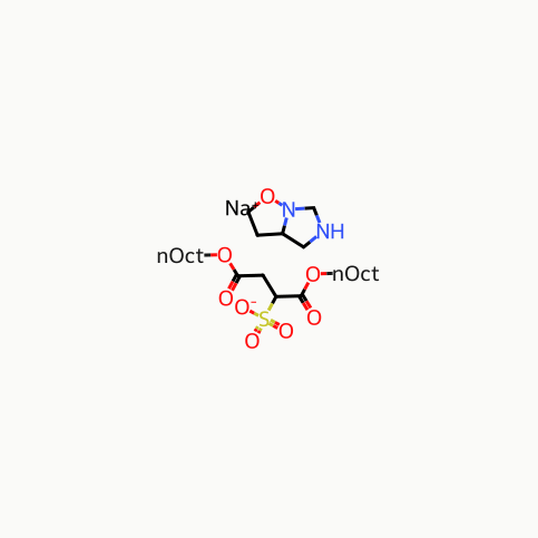 C1CC2CNCN2O1.CCCCCCCCOC(=O)CC(C(=O)OCCCCCCCC)S(=O)(=O)[O-].[Na+]